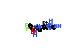 CCc1cc(-c2ccc3c(NS(=O)(=O)Cc4cccc(F)c4F)ncnn23)cc2cnc(N[C@H]3CCCNC3)nc12